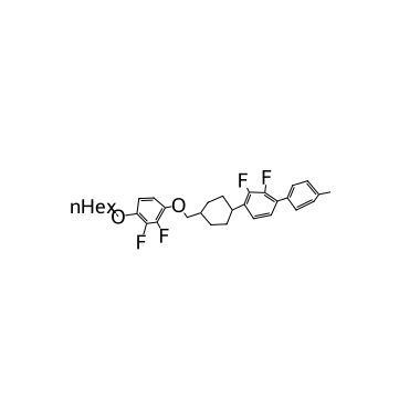 CCCCCCOc1ccc(OCC2CCC(c3ccc(-c4ccc(C)cc4)c(F)c3F)CC2)c(F)c1F